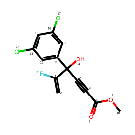 C=C(F)C(O)(C#CC(=O)OC)c1cc(Cl)cc(Cl)c1